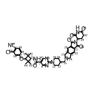 CC1(C)[C@H](NC(=O)c2cnc(N3CCC(CN4Cc5cc6c(cc5C4)C(=O)N(C4CCC(=O)NC4=O)C6=O)CC3)nc2)C(C)(C)[C@H]1Oc1ccc(C#N)c(Cl)c1